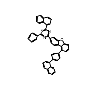 c1ccc(-c2nc(-c3ccc4c(c3)oc3cccc(-c5ccc(-c6cccc7ccccc67)cc5)c34)nc(-c3cccc4ccccc34)n2)cc1